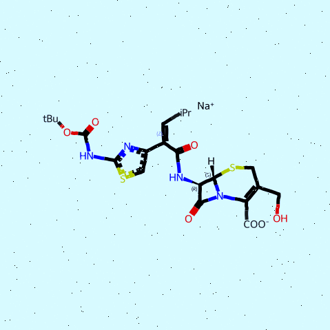 CC(C)/C=C(\C(=O)N[C@@H]1C(=O)N2C(C(=O)[O-])=C(CO)CS[C@@H]12)c1csc(NC(=O)OC(C)(C)C)n1.[Na+]